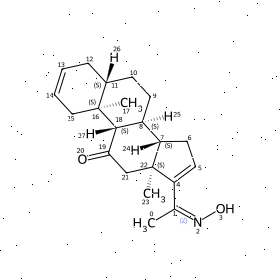 C/C(=N/O)C1=CC[C@H]2[C@@H]3CC[C@H]4CC=CC[C@]4(C)[C@H]3C(=O)C[C@]12C